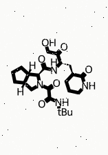 CC(C)(C)NC(=O)C(=O)N1C[C@@H]2CCC[C@@H]2[C@H]1C(=O)N[C@@H](C[C@@H]1CCCNC1=O)C(=O)CO